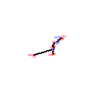 N[C@@H](CCCCNC(=O)c1ccc(CN(CCC(=O)O)C(=O)CCCCCCCCCCCCCCC(=O)O)o1)C(=O)O